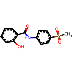 CS(=O)(=O)c1ccc(NC(=O)c2ccccc2O)cc1